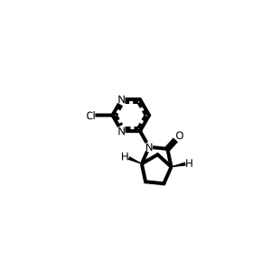 O=C1[C@@H]2CC[C@@H](C2)N1c1ccnc(Cl)n1